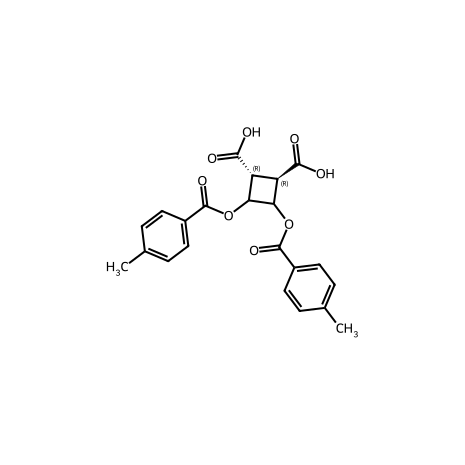 Cc1ccc(C(=O)OC2C(OC(=O)c3ccc(C)cc3)[C@H](C(=O)O)[C@H]2C(=O)O)cc1